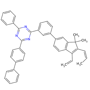 C=CC1=C(/C=C\C)C(C)(C)c2cc(-c3cccc(-c4nc(-c5ccccc5)nc(-c5ccc(-c6ccccc6)cc5)n4)c3)ccc21